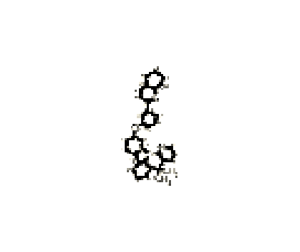 CC1(C)c2cccnc2-n2c3cc(Oc4cccc(-c5ccc6ccccc6n5)c4)ccc3c3cccc1c32